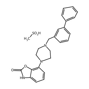 CS(=O)(=O)O.O=c1[nH]c2cccc(N3CCN(Cc4cccc(-c5ccccc5)c4)CC3)c2o1